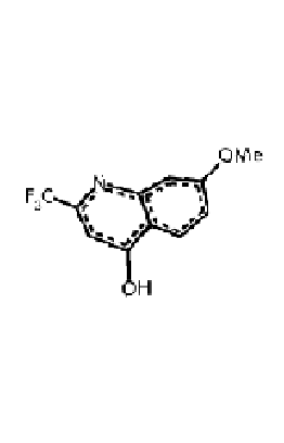 COc1ccc2c(O)cc(C(F)(F)F)nc2c1